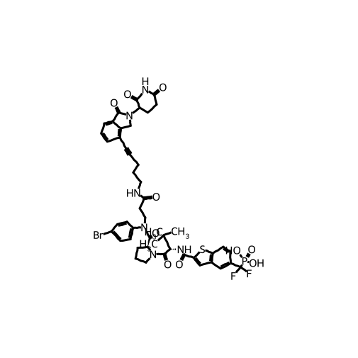 CC(C)(C)[C@H](NC(=O)c1cc2cc(C(F)(F)P(=O)(O)O)ccc2s1)C(=O)N1CCC[C@H]1C(=O)N(CCC(=O)NCCCC#Cc1cccc2c1CN(C1CCC(=O)NC1=O)C2=O)c1ccc(Br)cc1